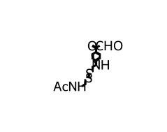 CC(=O)NCCSSCCNc1ccc(C(=O)C=O)cc1